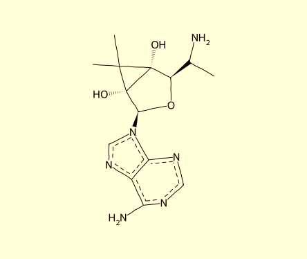 CC(N)[C@H]1O[C@@H](n2cnc3c(N)ncnc32)[C@@]2(O)C(C)(C)[C@@]12O